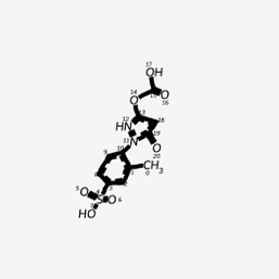 Cc1cc(S(=O)(=O)O)ccc1-n1[nH]c(OC(=O)O)cc1=O